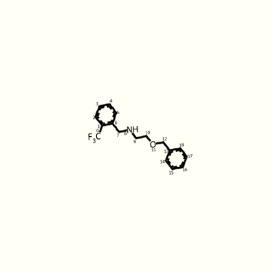 FC(F)(F)c1ccccc1CNCCOCc1ccccc1